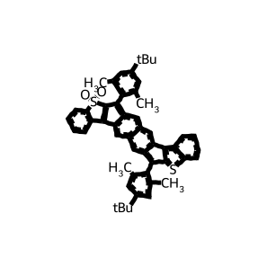 Cc1cc(C(C)(C)C)cc(C)c1C1=c2cc3cc4c(cc3cc2C2=C1S(=O)(=O)c1ccccc12)=C(c1c(C)cc(C(C)(C)C)cc1C)c1sc2ccccc2c1-4